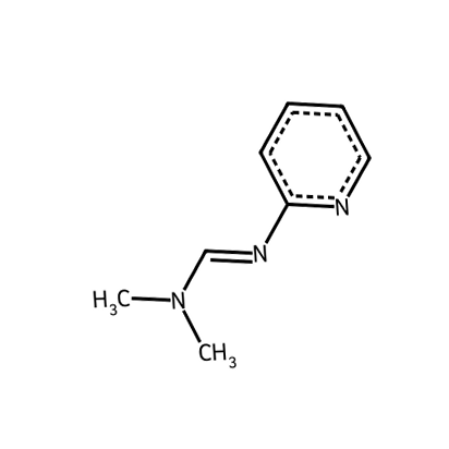 CN(C)/C=N/c1ccccn1